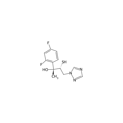 C[C@@](O)(c1ccc(F)cc1F)[C@H](S)Cn1cncn1